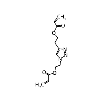 C=CC(=O)OCCc1cn(CCOC(=O)C=C)nn1